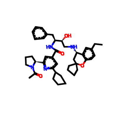 CCc1ccc2c(c1)[C@@H](NC[C@@H](O)[C@H](Cc1ccccc1)NC(=O)c1cc(C3CCCC3)nc([C@H]3CCCN3C(C)=O)c1)CC1(CCCC1)O2